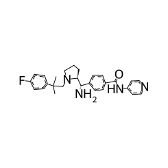 CC(C)(CN1CCC[C@H]1[C@@H](N)c1ccc(C(=O)Nc2ccncc2)cc1)c1ccc(F)cc1